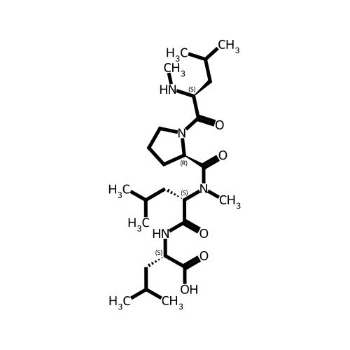 CN[C@@H](CC(C)C)C(=O)N1CCC[C@@H]1C(=O)N(C)[C@@H](CC(C)C)C(=O)N[C@@H](CC(C)C)C(=O)O